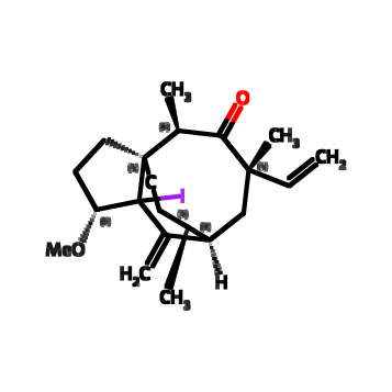 C=C[C@]1(C)C[C@H]2C(=C)C3(I)[C@H](OC)CC[C@@]3(CC[C@H]2C)[C@@H](C)C1=O